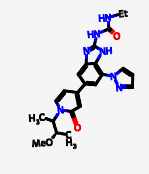 CCNC(=O)Nc1nc2cc(-c3ccn(C(C)[C@@H](C)OC)c(=O)c3)cc(-n3cccn3)c2[nH]1